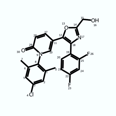 Cc1cc(Cl)cc(C)c1-n1cc(-c2oc(CO)nc2-c2ccc(F)cc2F)ccc1=O